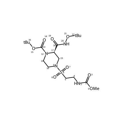 COC(=O)NCCS(=O)(=O)N1CCN(C(=O)OC(C)(C)C)[C@@H](C(=O)NOC(C)(C)C)C1